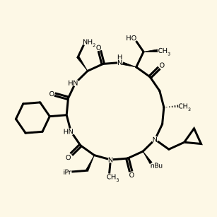 CCCC[C@H]1C(=O)N(C)[C@@H](CC(C)C)C(=O)NC(C2CCCCC2)C(=O)N[C@@H](CN)C(=O)N[C@@H]([C@H](C)O)C(=O)C[C@H](C)CN1CC1CC1